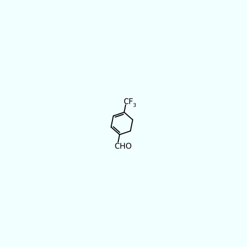 O=CC1=CC=C(C(F)(F)F)CC1